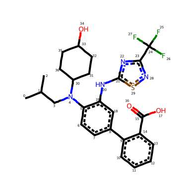 CC(C)CN(c1ccc(-c2ccccc2C(=O)O)cc1Nc1nc(C(F)(F)F)ns1)C1CCC(O)CC1